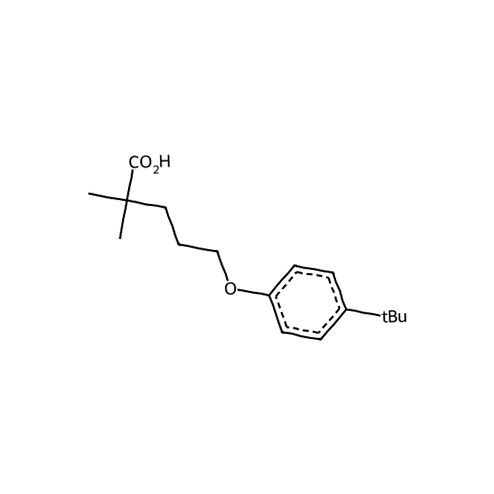 CC(C)(CCCOc1ccc(C(C)(C)C)cc1)C(=O)O